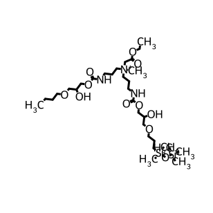 CCCCOCC(O)COC(=O)NCCC[N+](C)(CCCNC(=O)OCC(O)COCCC[Si](C)(C)O[Si](C)(C)C)CC(=O)OCC